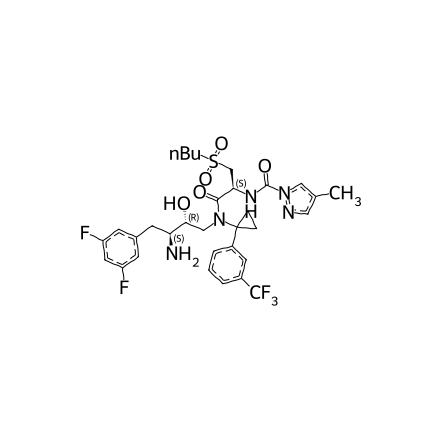 CCCCS(=O)(=O)C[C@@H](NC(=O)n1cc(C)cn1)C(=O)N(C[C@@H](O)[C@@H](N)Cc1cc(F)cc(F)c1)C1(c2cccc(C(F)(F)F)c2)CC1